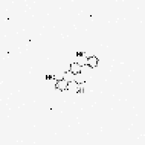 CC(S)Cc1ncnc(O)c1Cc1ccc(-c2ccccc2C#N)cc1